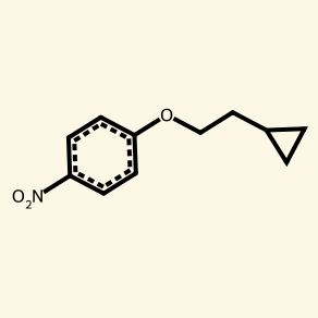 O=[N+]([O-])c1ccc(OCCC2CC2)cc1